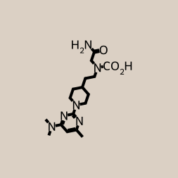 Cc1cc(N(C)C)nc(N2CCC(CCN(CC(N)=O)C(=O)O)CC2)n1